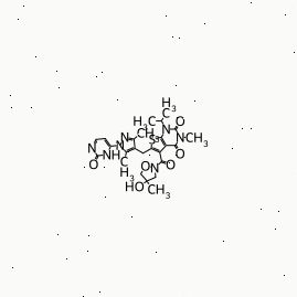 Cc1nn(-c2ccnc(=O)[nH]2)c(C)c1Cc1sc2c(c1C(=O)N1C[C@](C)(O)CO1)c(=O)n(C)c(=O)n2C(C)C